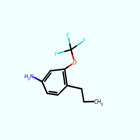 CCCc1ccc(N)cc1OC(F)(F)F